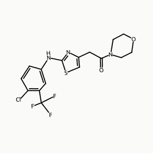 O=C(Cc1csc(Nc2ccc(Cl)c(C(F)(F)F)c2)n1)N1CCOCC1